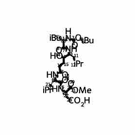 CC[C@H](C)[C@H](NC(=O)OC(C)(C)C)C(=O)N[C@@H](CC(C)C)C(O)CCC(=O)N[C@@H](CC(C)C)C(=O)N[C@@H](CC(=O)O)C(=O)OC